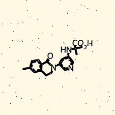 Cc1ccc2c(c1)CCN(c1cncc(NC(C)(C)C(=O)O)c1)C2=O